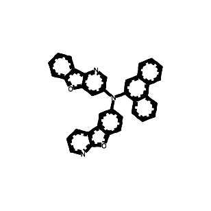 c1ccc2c(c1)cc(N(c1cnc3c(c1)oc1ccccc13)c1ccc3oc4ncccc4c3c1)c1ccccc12